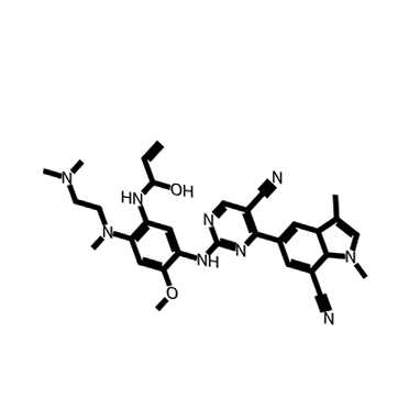 C=CC(O)Nc1cc(Nc2ncc(C#N)c(C3=CC4C(C)=CN(C)C4C(C#N)=C3)n2)c(OC)cc1N(C)CCN(C)C